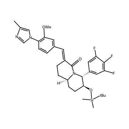 COc1cc(/C=C2\CC[C@@H]3CC[C@H](O[Si](C)(C)C(C)(C)C)[C@@H](c4cc(F)c(F)c(F)c4)N3C2=O)ccc1-n1cnc(C)c1